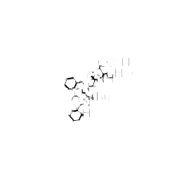 CC(C)(C)[C@H](NC(=O)c1ccccc1)C(=O)N(CC(=O)NC(C=O)CC(=O)O)Cc1ccccc1